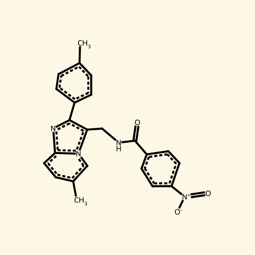 Cc1ccc(-c2nc3ccc(C)cn3c2CNC(=O)c2ccc([N+](=O)[O-])cc2)cc1